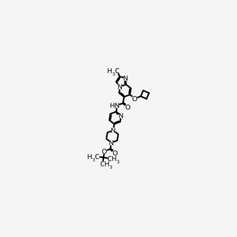 Cc1cn2cc(C(=O)Nc3ccc(N4CCN(C(=O)OC(C)(C)C)CC4)cn3)c(OC3CCC3)cc2n1